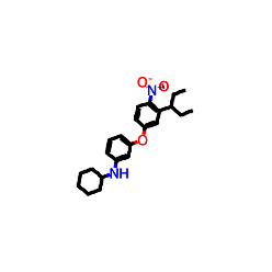 CCC(CC)c1cc(Oc2cccc(NC3CCCCC3)c2)ccc1[N+](=O)[O-]